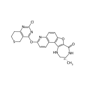 C[C@@H]1CNc2c(oc3ccc4nc(Oc5nc(Cl)nc6c5CSCC6)ccc4c23)C(=O)N1